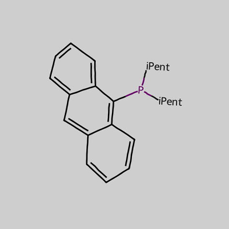 CCCC(C)P(c1c2ccccc2cc2ccccc12)C(C)CCC